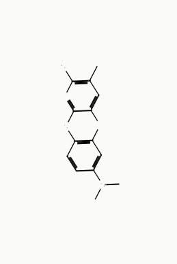 CC1=C(N)[C+]=C2Nc3ccc(N(C)C)cc3SC2=C1.[Cl-]